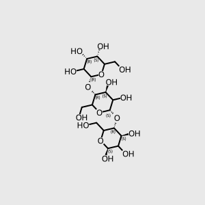 OCC1O[C@H](O[C@H]2C(CO)O[C@@H](O[C@H]3C(CO)O[C@H](O)C(O)[C@@H]3O)C(O)[C@@H]2O)C(O)[C@H](O)[C@@H]1O